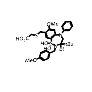 CCCCC1(CC)CN(c2ccccc2)c2cc(OC)c(CSCC(=O)O)cc2S(O)(O)N1Cc1ccc(OC)cc1